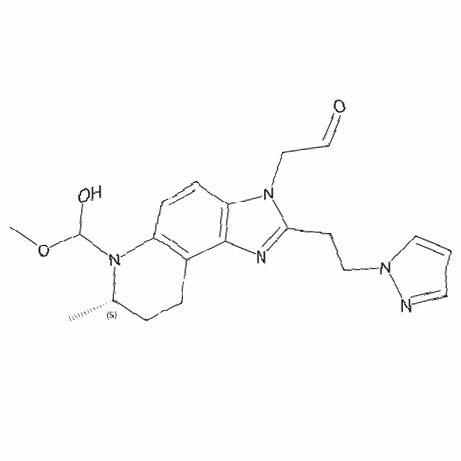 COC(O)N1c2ccc3c(nc(CCn4cccn4)n3CC=O)c2CC[C@@H]1C